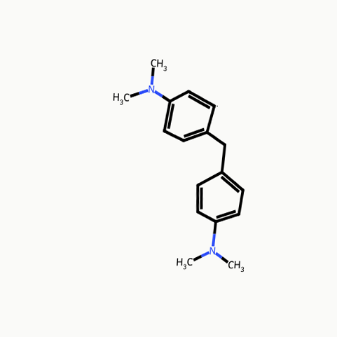 CN(C)c1c[c]c(Cc2ccc(N(C)C)cc2)cc1